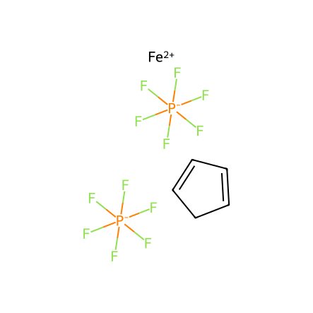 C1=CCC=C1.F[P-](F)(F)(F)(F)F.F[P-](F)(F)(F)(F)F.[Fe+2]